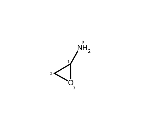 NC1CO1